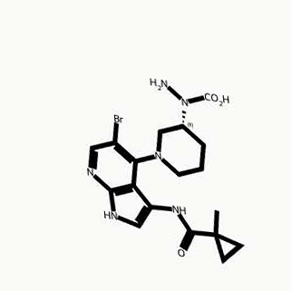 CC1(C(=O)Nc2c[nH]c3ncc(Br)c(N4CCC[C@@H](N(N)C(=O)O)C4)c23)CC1